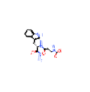 NC(=O)[C@H](Cc1c[nH]c2ccccc12)NC(=O)CCNC(=O)O